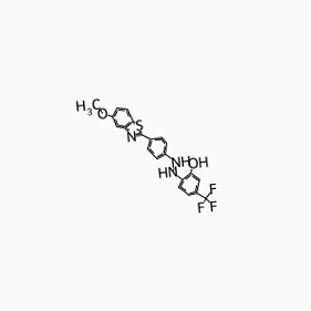 COc1ccc2sc(-c3ccc(NNc4ccc(C(F)(F)F)cc4O)cc3)nc2c1